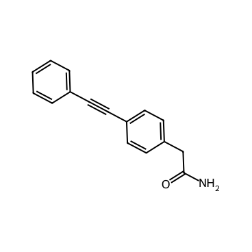 NC(=O)Cc1ccc(C#Cc2ccccc2)cc1